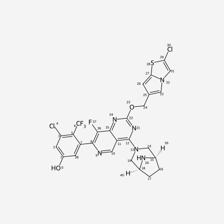 Oc1cc(Cl)c(C(F)(F)F)c(-c2ncc3c(N4C[C@H]5CC[C@@H](C4)N5)nc(OCc4cc5sc(Cl)cn5c4)nc3c2F)c1